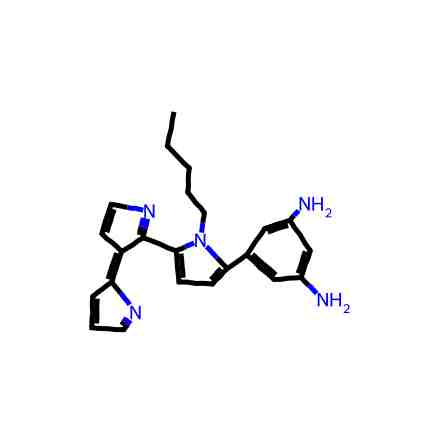 CCCCCn1c(C2=NC=CC2=C2C=CC=N2)ccc1-c1cc(N)cc(N)c1